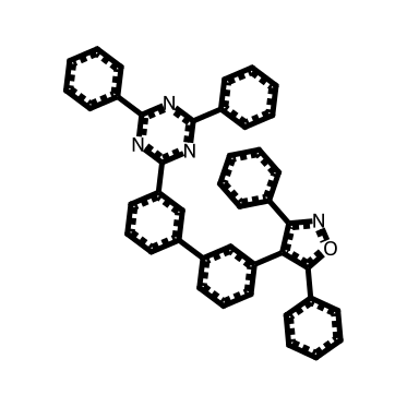 c1ccc(-c2nc(-c3ccccc3)nc(-c3cccc(-c4cccc(-c5c(-c6ccccc6)noc5-c5ccccc5)c4)c3)n2)cc1